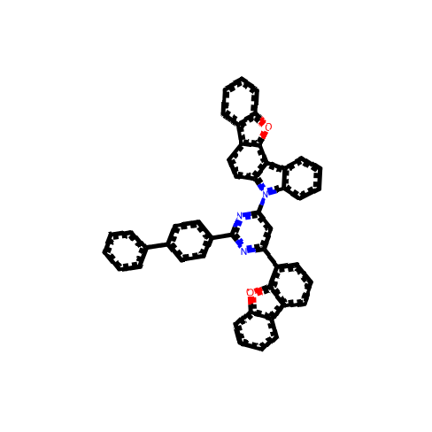 c1ccc(-c2ccc(-c3nc(-c4cccc5c4oc4ccccc45)cc(-n4c5ccccc5c5c6oc7ccccc7c6ccc54)n3)cc2)cc1